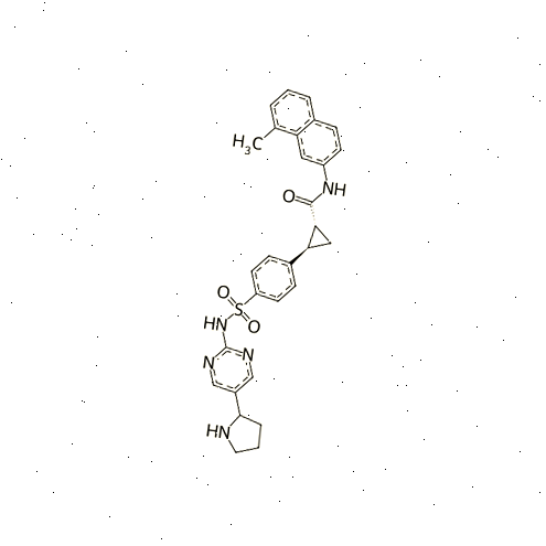 Cc1cccc2ccc(NC(=O)[C@@H]3C[C@H]3c3ccc(S(=O)(=O)Nc4ncc(C5CCCN5)cn4)cc3)cc12